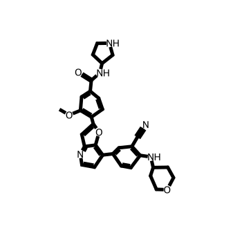 COc1cc(C(=O)NC2CCNC2)ccc1-c1cc2nccc(-c3ccc(NC4CCOCC4)c(C#N)c3)c2o1